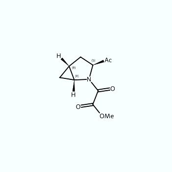 COC(=O)C(=O)N1[C@@H]2C[C@@H]2C[C@H]1C(C)=O